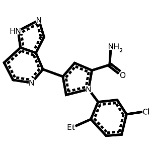 CCc1ccc(Cl)cc1-n1cc(-c2nccc3[nH]ncc23)cc1C(N)=O